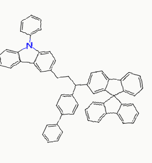 c1ccc(-c2ccc(C(CCc3ccc4c(c3)c3ccccc3n4-c3ccccc3)c3ccc4c(c3)C3(c5ccccc5-c5ccccc53)c3ccccc3-4)cc2)cc1